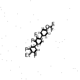 CCc1c(F)cc(-c2ccc(-c3ccc(OC(F)F)cc3)c(F)c2F)cc1F